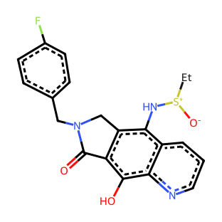 CC[S+]([O-])Nc1c2c(c(O)c3ncccc13)C(=O)N(Cc1ccc(F)cc1)C2